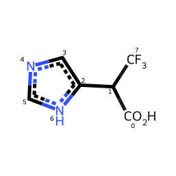 O=C(O)C(c1cnc[nH]1)C(F)(F)F